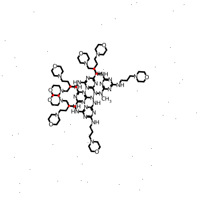 CN(c1nc(NCCCN2CCOCC2)nc(NCCCN2CCOCC2)n1)N(c1nc(NCCCN2CCOCC2)nc(NCCCN2CCOCC2)n1)N(Nc1nc(NCCCN2CCOCC2)nc(NCCCN2CCOCC2)n1)c1nc(NCCCN2CCOCC2)nc(NCCCN2CCOCC2)n1